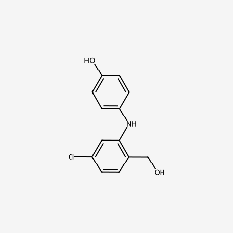 OCc1ccc(Cl)cc1Nc1ccc(O)cc1